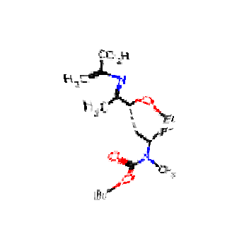 C=C(/N=C(\C)[C@@H](C[C@@H](C(C)C)N(C)C(=O)OC(C)(C)C)OCC)C(=O)O